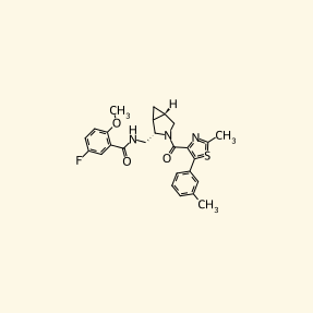 COc1ccc(F)cc1C(=O)NC[C@@H]1C2C[C@@H]2CN1C(=O)c1nc(C)sc1-c1cccc(C)c1